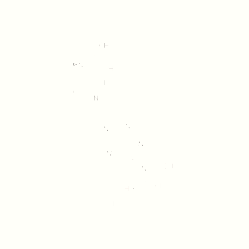 C=C1CC2CC[C@H]1[C@@H](C(=O)N1CC[C@H](N3CCN(c4ccc(F)cc4C(=O)N(CC)C(C)C)c4cncnc43)C1)N2